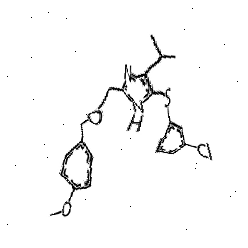 COc1ccc(COCc2nc(C(C)C)c(Sc3cccc(Cl)c3)[nH]2)cc1